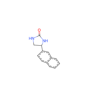 O=C1NCC(c2ccc3ccccc3c2)N1